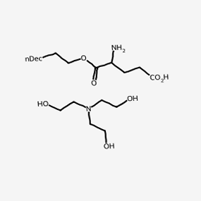 CCCCCCCCCCCCOC(=O)C(N)CCC(=O)O.OCCN(CCO)CCO